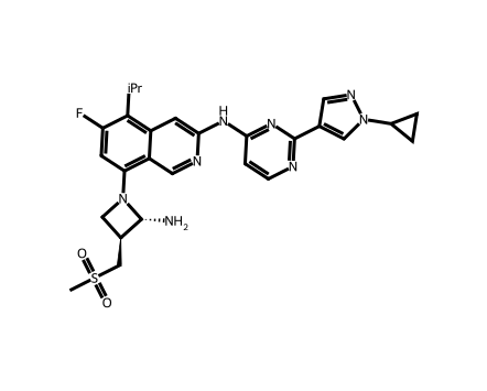 CC(C)c1c(F)cc(N2C[C@H](CS(C)(=O)=O)[C@H]2N)c2cnc(Nc3ccnc(-c4cnn(C5CC5)c4)n3)cc12